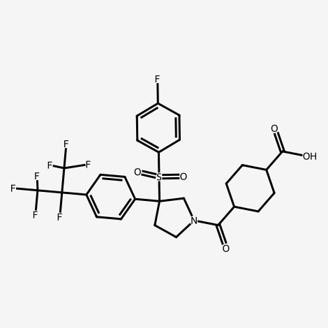 O=C(O)C1CCC(C(=O)N2CCC(c3ccc(C(F)(C(F)(F)F)C(F)(F)F)cc3)(S(=O)(=O)c3ccc(F)cc3)C2)CC1